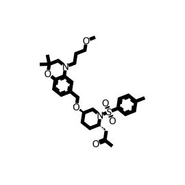 COCCCN1CC(C)(C)Oc2ccc(CO[C@@H]3CC[C@@H](CC(C)=O)N(S(=O)(=O)c4ccc(C)cc4)C3)cc21